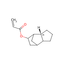 C=CC(=O)OC1CC2CC1[C@@H]1CCCC21